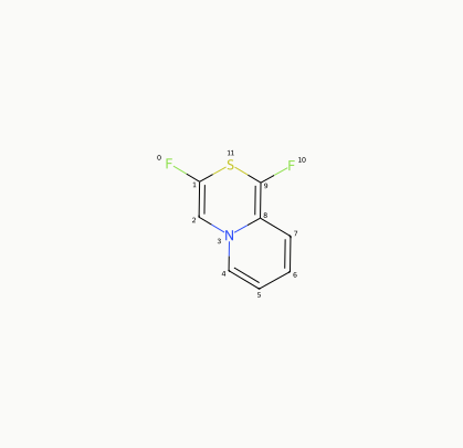 FC1=CN2C=CC=CC2=C(F)S1